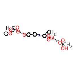 C=C(CO)C(=O)OCCCCOC(=O)Oc1ccc(/C=C/c2ccc(-c3ccc(OCCCOC(=O)C(=C)CC(=O)OC4CCCCC4)cc3)cc2)cc1CC